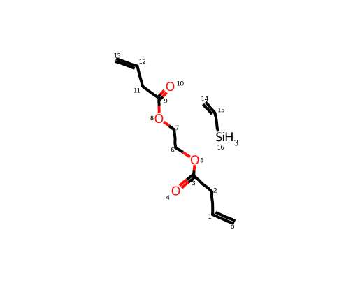 C=CCC(=O)OCCOC(=O)CC=C.C=C[SiH3]